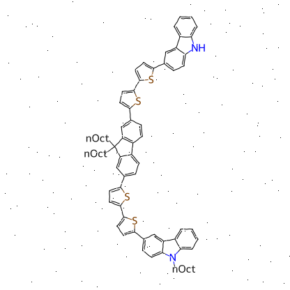 CCCCCCCCn1c2ccccc2c2cc(-c3ccc(-c4ccc(-c5ccc6c(c5)C(CCCCCCCC)(CCCCCCCC)c5cc(-c7ccc(-c8ccc(-c9ccc%10[nH]c%11ccccc%11c%10c9)s8)s7)ccc5-6)s4)s3)ccc21